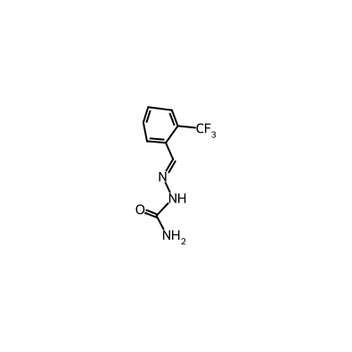 NC(=O)NN=Cc1ccccc1C(F)(F)F